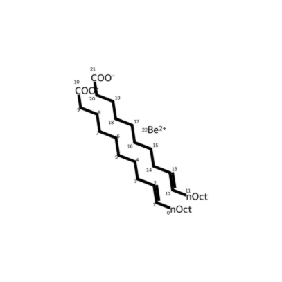 CCCCCCCCC=CCCCCCCCC(=O)[O-].CCCCCCCCC=CCCCCCCCC(=O)[O-].[Be+2]